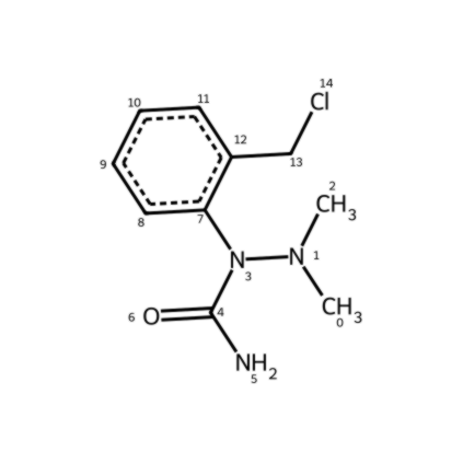 CN(C)N(C(N)=O)c1ccccc1CCl